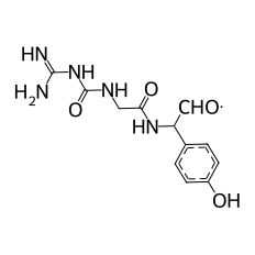 N=C(N)NC(=O)NCC(=O)NC([C]=O)c1ccc(O)cc1